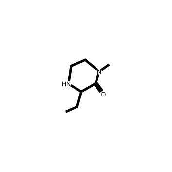 CCC1NCCN(C)C1=O